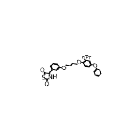 CCCc1cc(Oc2ccccc2)ccc1OCCCCOc1cccc(C2NC(=O)SC2=O)c1